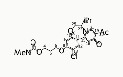 CNC(=O)OCCCOc1cc2c(cc1Cl)-c1cc(=O)c(C(C)=O)cn1C(C(C)C)CO2